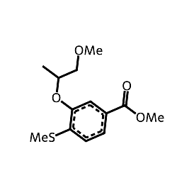 COCC(C)Oc1cc(C(=O)OC)ccc1SC